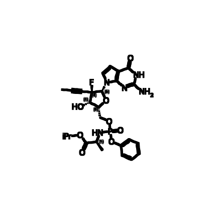 CC#C[C@@]1(F)[C@@H](O)[C@@H](COP(=O)(N[C@@H](C)C(=O)OC(C)C)Oc2ccccc2)O[C@H]1n1ccc2c(=O)[nH]c(N)nc21